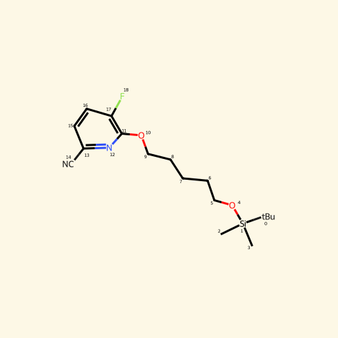 CC(C)(C)[Si](C)(C)OCCCCCOc1nc(C#N)ccc1F